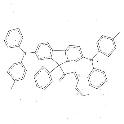 C=C(/C=C\C=C/C)C1(c2ccccc2)c2cc(N(c3ccccc3)c3ccc(C)cc3)ccc2-c2ccc(N(c3ccccc3)c3ccc(C)cc3)cc21